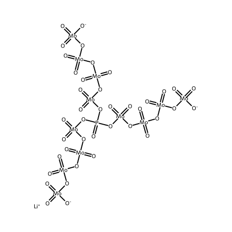 O=P([O][Mo](=[O])(=[O])[O][Mo](=[O])(=[O])[O][Mo](=[O])(=[O])[O][Mo](=[O])(=[O])[O-])([O][Mo](=[O])(=[O])[O][Mo](=[O])(=[O])[O][Mo](=[O])(=[O])[O][Mo](=[O])(=[O])[O-])[O][Mo](=[O])(=[O])[O][Mo](=[O])(=[O])[O][Mo](=[O])(=[O])[O][Mo](=[O])(=[O])[O-].[Li+]